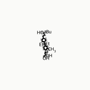 CCC(CC)(c1ccc(C=CC(O)C(C)(C)C)cc1)c1ccc(OC[C@H](O)CO)c(C)c1